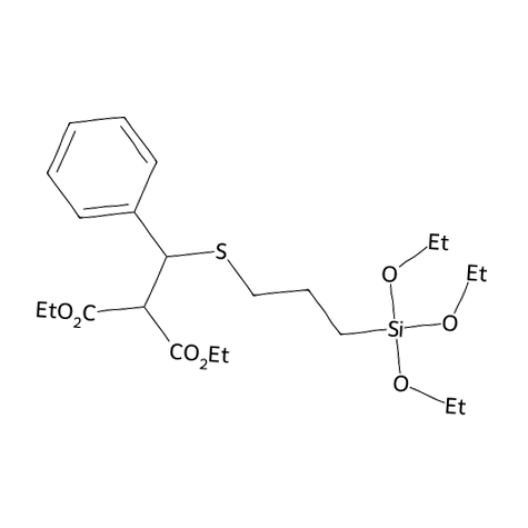 CCOC(=O)C(C(=O)OCC)C(SCCC[Si](OCC)(OCC)OCC)c1ccccc1